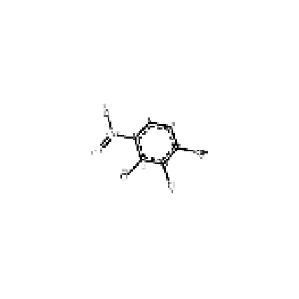 O=[N+]([O-])c1ccc(O)c(Cl)c1Cl